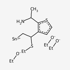 CCSC([CH2][Sn+3])c1ccsc1C(C)N.CC[O-].CC[O-].CC[O-]